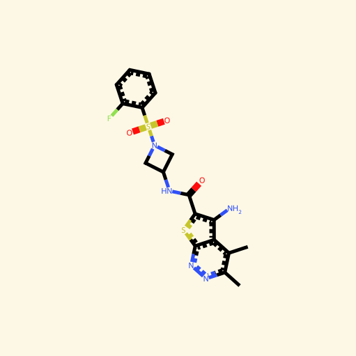 Cc1nnc2sc(C(=O)NC3CN(S(=O)(=O)c4ccccc4F)C3)c(N)c2c1C